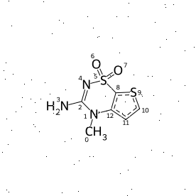 CN1C(N)=NS(=O)(=O)c2sccc21